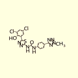 Cn1nnc(-c2ccc(NC(=O)Nc3nnc(-c4cc(Cl)cc(Cl)c4O)s3)cc2)n1